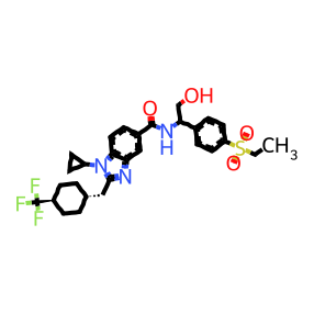 CCS(=O)(=O)c1ccc(C(CO)NC(=O)c2ccc3c(c2)nc(C[C@H]2CC[C@H](C(F)(F)F)CC2)n3C2CC2)cc1